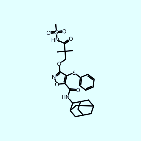 CC(C)(COc1noc(C(=O)NC2C3CC4CC(C3)CC2C4)c1Sc1ccccc1)C(=O)NS(C)(=O)=O